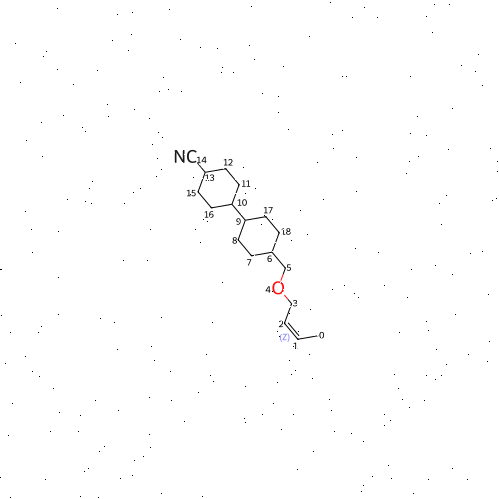 C/C=C\COCC1CCC(C2CCC(C#N)CC2)CC1